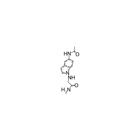 CC(=O)Nc1ccc2c(ccn2NCC(N)=O)c1